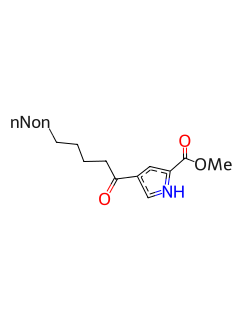 CCCCCCCCCCCCCC(=O)c1c[nH]c(C(=O)OC)c1